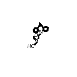 C#CCN1CCOC(CN2c3ccccc3C3CC3c3ccccc32)C1